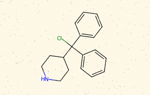 ClC(c1ccccc1)(c1ccccc1)C1CCNCC1